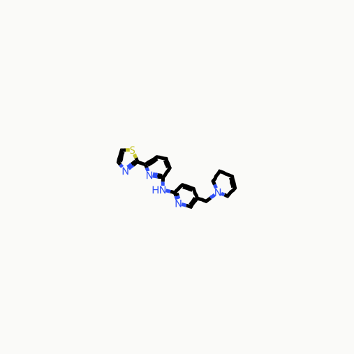 C1=CCN(Cc2ccc(Nc3cccc(-c4nccs4)n3)nc2)CC1